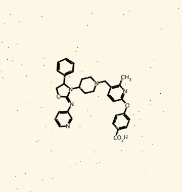 Cc1nc(Oc2ccc(C(=O)O)cc2)ccc1CN1CCC(N2C(=Nc3cccnc3)OCC2c2ccccc2)CC1